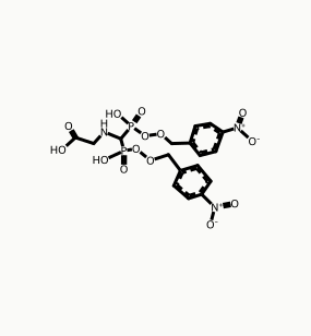 O=C(O)CNC(P(=O)(O)OOCc1ccc([N+](=O)[O-])cc1)P(=O)(O)OOCc1ccc([N+](=O)[O-])cc1